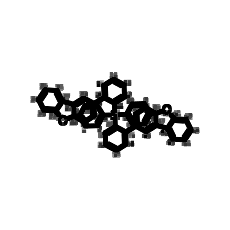 c1ccc([Si](c2ccccc2)(c2ccccc2-c2ccc3oc4ccccc4c3c2)c2ccccc2-c2ccc3oc4ccccc4c3c2)cc1